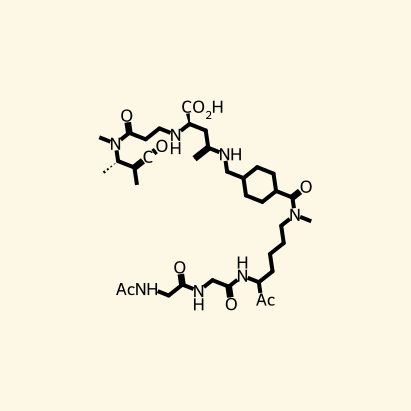 C=C(C[C@@H](NCCC(=O)N(C)[C@@H](C)C(C)=C=O)C(=O)O)NCC1CCC(C(=O)N(C)CCCCC(NC(=O)CNC(=O)CNC(C)=O)C(C)=O)CC1